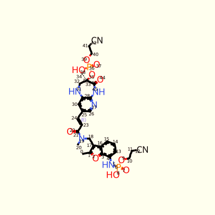 Cc1oc2c(NP(=O)(O)OCCC#N)cccc2c1CN(C)C(=O)/C=C/c1cnc2c(c1)NC[C@@](C)(OP(=O)(O)OCCC#N)C(=O)N2